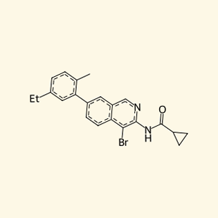 CCc1ccc(C)c(-c2ccc3c(Br)c(NC(=O)C4CC4)ncc3c2)c1